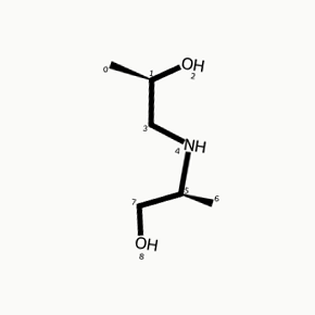 C[C@@H](O)CN[C@@H](C)CO